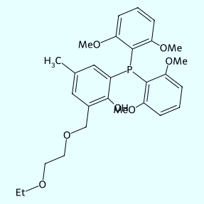 CCOCCOCc1cc(C)cc(P(c2c(OC)cccc2OC)c2c(OC)cccc2OC)c1O